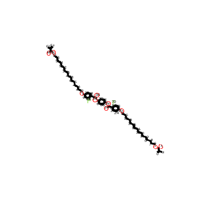 C=C(C)C(=O)OCCCCCCCCCCCCCCCCOc1ccc(C(=O)Oc2ccc(OC(=O)c3ccc(OCCCCCCCCCCCCCCCCOC(=O)C(=C)C)cc3F)cc2)c(F)c1